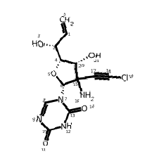 C=C[C@@H](O)[C@H]1O[C@@H](n2cnc(=O)[nH]c2=O)C(N)(C#CCl)[C@H]1O